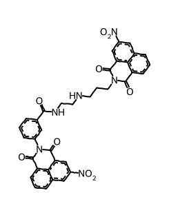 O=C(NCCNCCCN1C(=O)c2cccc3cc([N+](=O)[O-])cc(c23)C1=O)c1cccc(N2C(=O)c3cccc4cc([N+](=O)[O-])cc(c34)C2=O)c1